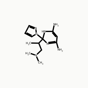 CC(CN(C)C)C1(n2cccn2)N=C(N)C=C(N)N1